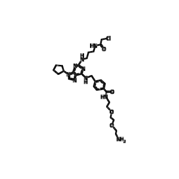 NCCOCCOCCNC(=O)c1ccc(CNc2nc(NCCCNC(=O)CCl)nc3c2ncn3C2CCCC2)cc1